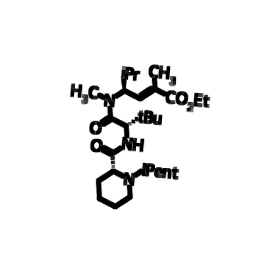 CCCC(C)N1CCCC[C@@H]1C(=O)N[C@H](C(=O)N(C)[C@H](/C=C(\C)C(=O)OCC)C(C)C)C(C)(C)C